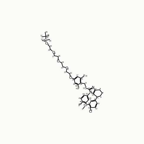 COc1cc(C2CCCc3nc(SCc4c(F)cc(OCCOCCOCCOCCO[Si](C)(C)C(C)(C)C)cc4F)n(-c4ccc(F)cc4)c32)ccc1Cl